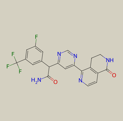 NC(=O)C(c1cc(F)cc(C(F)(F)F)c1)c1cc(-c2nccc3c2CCNC3=O)ncn1